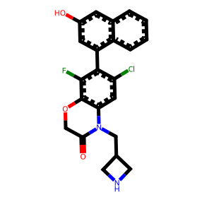 O=C1COc2c(cc(Cl)c(-c3cc(O)cc4ccccc34)c2F)N1CC1CNC1